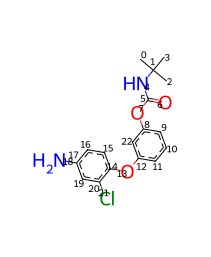 CC(C)(C)NC(=O)Oc1cccc(Oc2ccc(N)cc2Cl)c1